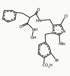 CCCCc1nc(Cl)c(CNC(=O)C(Cc2ccccc2)C(=O)NO)n1Cc1ccc(C(=O)O)c(Br)c1